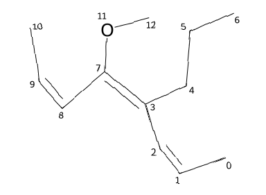 C\C=C/C(CCC)=C(\C=C/C)OC